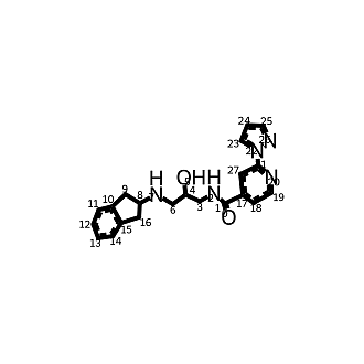 O=C(NCC(O)CNC1Cc2ccccc2C1)c1ccnc(-n2cccn2)c1